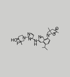 CC(C)c1ccc(N2CC(C)(CS(C)(=O)=O)C2)c2cnc(Nc3ccnc(N4CC[C@@H](O)[C@@](C)(F)C4)n3)cc12